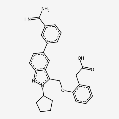 N=C(N)c1cccc(-c2ccc3nn(C4CCCC4)c(COc4ccccc4CC(=O)O)c3c2)c1